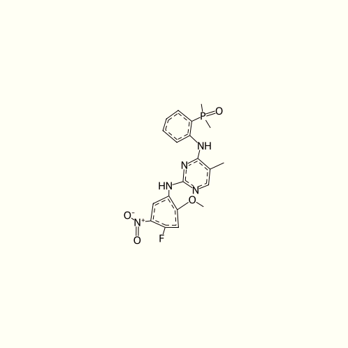 COc1cc(F)c([N+](=O)[O-])cc1Nc1ncc(C)c(Nc2ccccc2P(C)(C)=O)n1